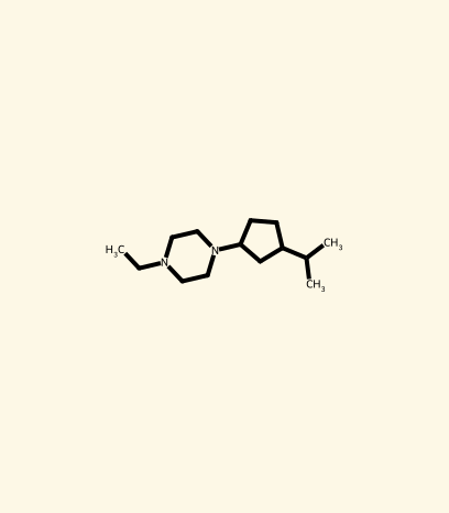 CCN1CCN(C2CCC(C(C)C)C2)CC1